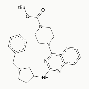 CC(C)(C)OC(=O)N1CCN(c2nc(NC3CCN(Cc4ccccc4)C3)nc3ccccc23)CC1